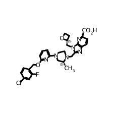 C[C@H]1CN(c2cccc(OCc3ccc(Cl)cc3F)n2)CCN1Cc1nc2ccc(C(=O)O)nc2n1C[C@@H]1CCO1